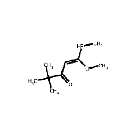 CO/C(=C\C(=O)C(C)(C)C)PC